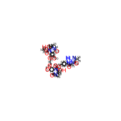 COc1cc2c(cc1OCCCOc1cc3c(cc1OC)C(=O)N1CCC[C@H]1[C@H](O)N3C(=O)OC(C)(C)C)N(C(=O)OCc1ccc(NC(=O)[C@H](C)NC(=O)[C@@H](N)C(C)C)cc1)[C@@H](O)[C@@H]1CCCN1C2=O